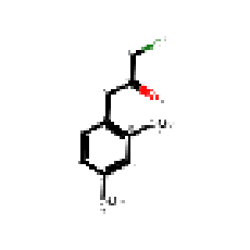 COc1ccc(CC(=O)CCl)c(OC)c1